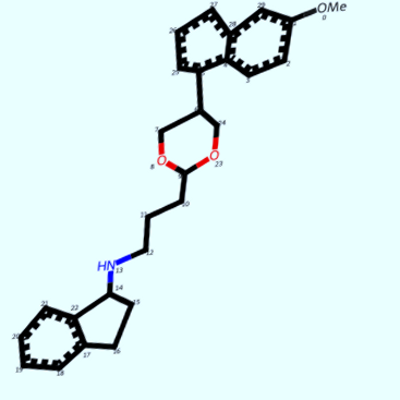 COc1ccc2c(C3COC(CCCNC4CCc5ccccc54)OC3)cccc2c1